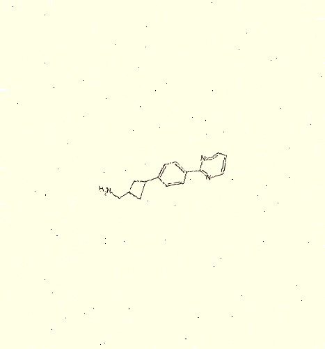 NCC1CC(c2ccc(-c3ncccn3)cc2)C1